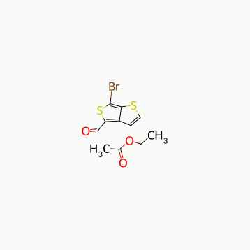 CCOC(C)=O.O=Cc1sc(Br)c2sccc12